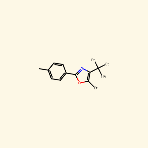 [CH2]CCC(CC)(CC)c1nc(-c2ccc(C)cc2)oc1CC